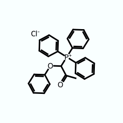 CC(=O)C(Oc1ccccc1)[P+](c1ccccc1)(c1ccccc1)c1ccccc1.[Cl-]